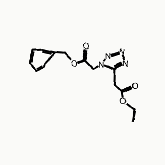 CCOC(=O)Cc1nnnn1CC(=O)OCc1ccccc1